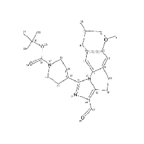 COc1cc2c(cc1CC(C)C)-n1c(C3=CCN(C(=O)OC(C)(C)C)CC3)nc(C=O)c1CC2